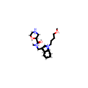 COCCCCn1cc(CN(C)C(=O)C2CNCCO2)c2ccccc21